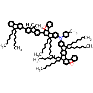 CCCCCCCCC1(CCCCCCCC)c2cc(N(c3ccc(C)cc3)c3ccc4c(c3)C(CCCCCCC)(CCCCCCC)c3cc(-c5ccc6c(c5)C(C)(C)c5cc(-c7ccc8c(c7)C(CCCCCCC)(CCCCCCC)c7ccccc7-8)ccc5-6)c5oc6ccccc6c5c3-4)ccc2-c2cc3c(cc21)-c1c(ccc2oc4ccccc4c12)C3(CCCCCCCC)CCCCCCCC